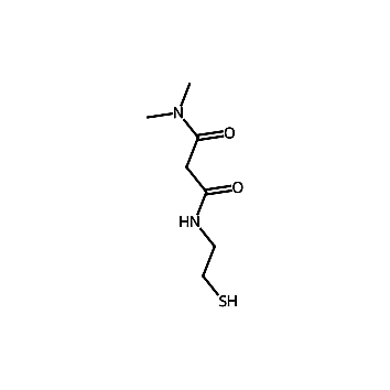 CN(C)C(=O)CC(=O)NCCS